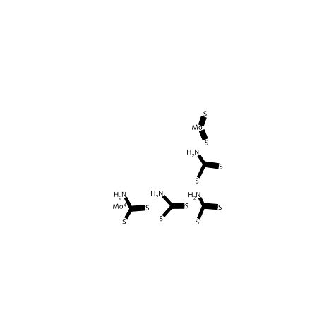 NC(=S)[S-].NC(=S)[S-].NC(=S)[S-].NC(=S)[S-].[Mo+4].[S]=[Mo]=[S]